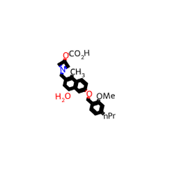 CCCc1ccc(COc2ccc3c(c2)CCC(CN2CC(OC(=O)O)C2)=C3C)c(OC)c1.O